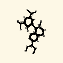 CCC(CC)c1ccc2c(-c3cc(C(C)C)cc(C(C)C)c3C)[n+](C)ccc2c1